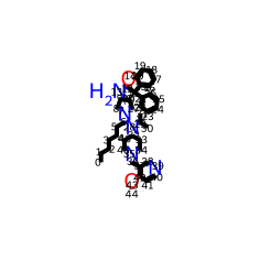 CCCCCCC(N1CC[C@@H](C(C(N)=O)(c2ccccc2)c2ccccc2)C1)N(C(C)C)C1CCN(Cc2cnccc2OC)CC1